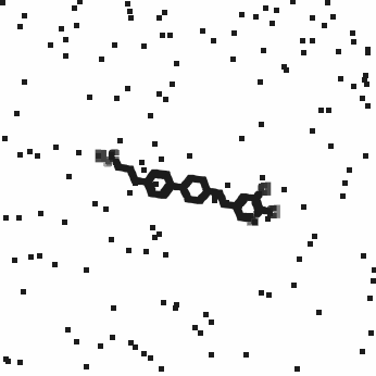 CCCCc1ccc(C2CCC(CCc3cnc(Cl)c(Cl)c3)CC2)cc1